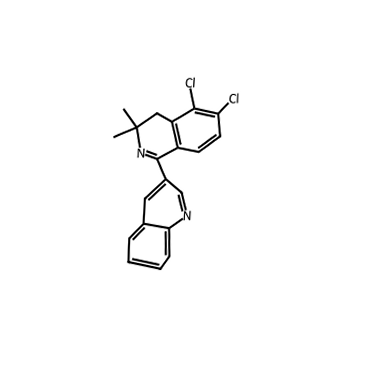 CC1(C)Cc2c(ccc(Cl)c2Cl)C(c2cnc3ccccc3c2)=N1